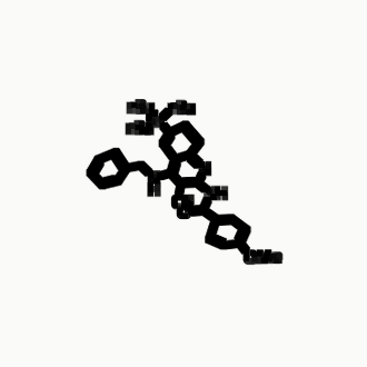 CCC[CH2][Sn]([CH2]CCC)([CH2]CCC)[c]1ccc2nc(NC(=O)c3ccc(OC)cc3)c(C#N)c(NCc3ccccc3)c2c1